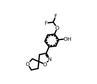 Oc1cc(C2=NOC3(CCOC3)C2)ccc1OC(F)F